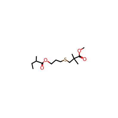 CCC(C)C(=O)OCCCSCC(C)(C)C(=O)OC